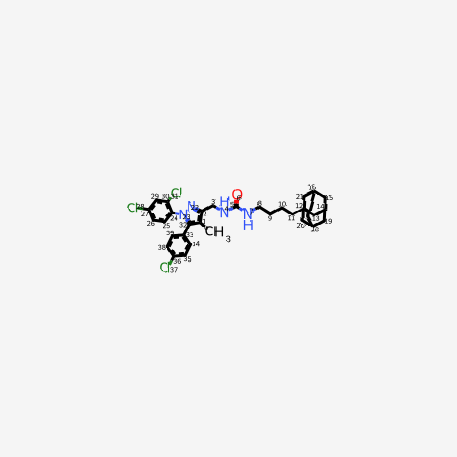 Cc1c(CNC(=O)NCCCCC23CC4CC(CC(C4)C2)C3)nn(-c2ccc(Cl)cc2Cl)c1-c1ccc(Cl)cc1